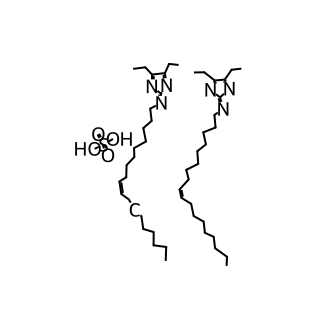 CCCCCCCC/C=C\CCCCCCCCN=C1N=C(CC)C(CC)=N1.CCCCCCCC/C=C\CCCCCCCCN=C1N=C(CC)C(CC)=N1.O=S(=O)(O)O